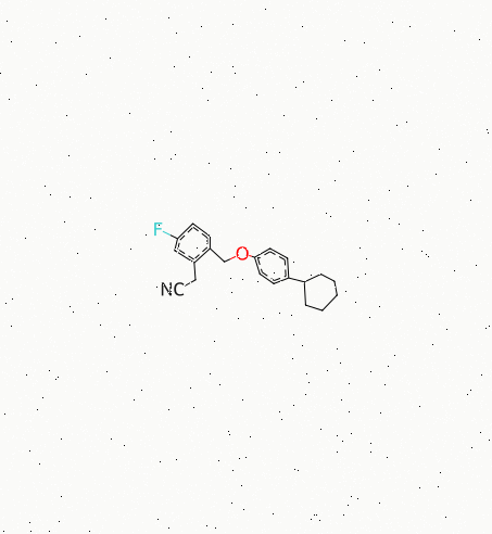 N#CCc1cc(F)ccc1COc1ccc(C2CCCCC2)cc1